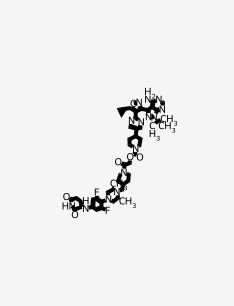 C[C@@H]1CN(c2c(F)cc(NC3CCC(=O)NC3=O)cc2F)C[C@@H](C)N1CC1CCN(C(=O)COC(=O)N2CCC(c3cnc(-c4c(-c5nn(C(C)(C)C)c6ncnc(N)c56)noc4C4CC4)nc3)CC2)CC1